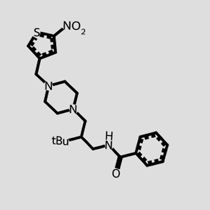 CC(C)(C)C(CNC(=O)c1ccccc1)CN1CCN(Cc2csc([N+](=O)[O-])c2)CC1